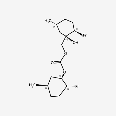 CC(C)[C@@H]1CC[C@@H](C)C[C@H]1OC(=O)OC[C@]1(O)C[C@H](C)CC[C@H]1C(C)C